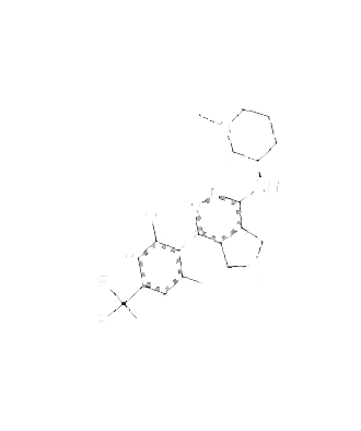 CN1CCC[C@@H](Nc2nnc(-c3c(O)cc(C(F)(F)F)cc3F)c3c2COC3)C1